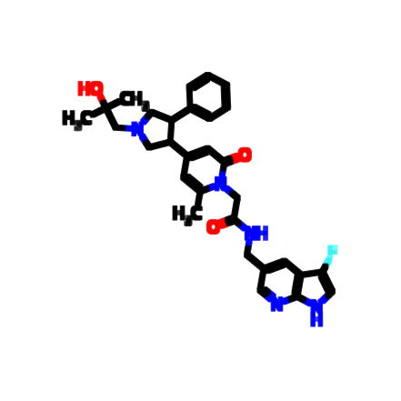 Cc1cc(C2CN(CC(C)(C)O)CC2c2ccccc2)cc(=O)n1CC(=O)NCc1cnc2[nH]cc(F)c2c1